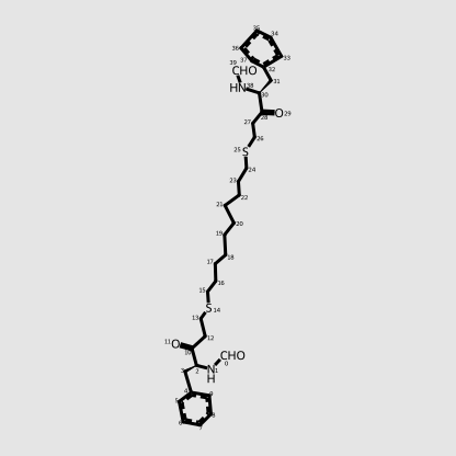 O=CN[C@@H](Cc1ccccc1)C(=O)CCSCCCCCCCCCCSCCC(=O)[C@H](Cc1ccccc1)NC=O